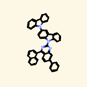 c1ccc(-c2ccc3c(-c4cccc5ccccc45)nc(-n4c5ccccc5c5cc(-n6c7ccccc7c7ccccc76)ccc54)nc3c2)cc1